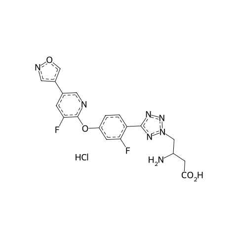 Cl.NC(CC(=O)O)Cn1nnc(-c2ccc(Oc3ncc(-c4cnoc4)cc3F)cc2F)n1